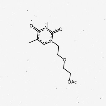 CC(=O)OCCOCCn1cc(C)c(=O)[nH]c1=O